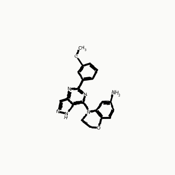 COc1cccc(-c2nc(N3CCOc4ccc(N)cc43)c3[nH]ncc3n2)c1